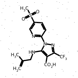 C=C(C)CNc1c(C(=O)O)c(C(F)(F)F)nn1-c1ccc(S(C)(=O)=O)cn1